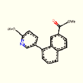 COC(=O)c1ccc2cccc(-c3ccc(OC)nc3)c2c1